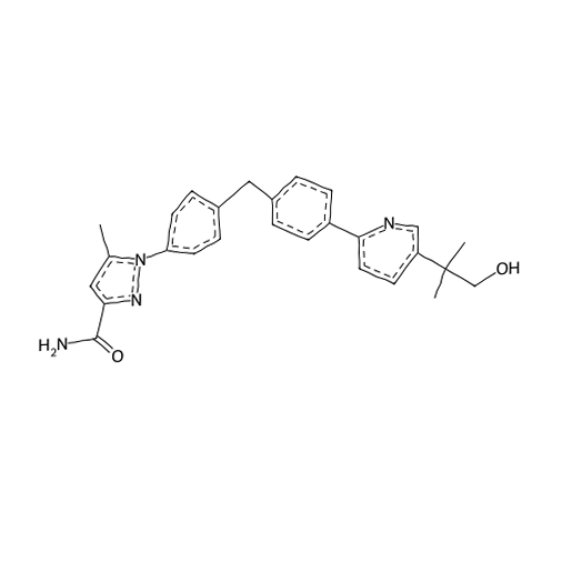 Cc1cc(C(N)=O)nn1-c1ccc(Cc2ccc(-c3ccc(C(C)(C)CO)cn3)cc2)cc1